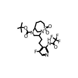 CC(C)(C)OC(=O)N1CC(CCc2c(F)cncc2NC(=O)C(F)(F)F)N2CC1CCCS2(=O)=O